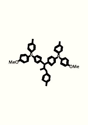 COc1ccc(N(c2ccc(C)cc2)c2ccc(C(c3ccc(N(c4ccc(C)cc4)c4ccc(OC)cc4)cc3)C(C)Cc3ccc(C)cc3)cc2)cc1